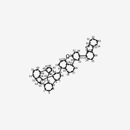 c1ccc2c(c1)-c1ccc(-c3ccc4c5c(cccc35)-c3cc(-c5cccc6c5sc5ccccc56)ccc3O4)cc1C21c2ccccc2-c2cccc3cccc1c23